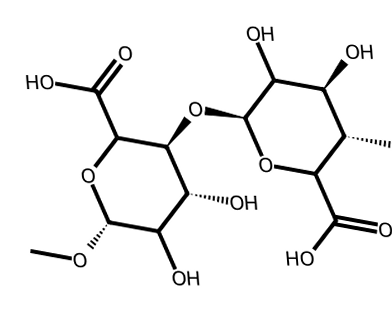 CO[C@@H]1OC(C(=O)O)[C@@H](O[C@@H]2OC(C(=O)O)[C@@H](C)[C@H](O)C2O)[C@H](O)C1O